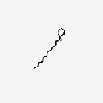 CCCCCCCCCCCNC1CCCCC1